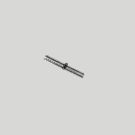 CCCCCCCCCCCCCCCCCCOC(=O)CCCCCCCCCCCCCCCCC.CCCCCCCCCCCCCCCCCCOC(=O)CCCCCCCCCCCCCCCCC